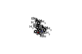 CCCCC(CC)CNS(=O)(=O)c1ccccc1-c1c2cc/c(=N/c3c(C)cc(C)c(NC(=O)CC(C)(C)C)c3C)cc-2oc2cc(Nc3c(C)cc(C)c(NC(=O)CC(C)(C)C)c3C)c(C)cc12